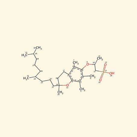 Cc1c(C)c2c(c(C)c1OC(C)CS(=O)(=O)O)CCC(C)(CCCC(C)CCCC(C)C)O2